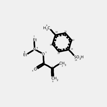 C=C(C)C(=O)ON(CC)CC.Cc1ccc(S(=O)(=O)O)cc1